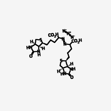 O=C1N[C@H]2[C@H](CS[C@H]2CCCC(N=NC(CCC[C@@H]2SC[C@@H]3NC(=O)N[C@@H]32)C(=O)O)C(=O)O)N1.[N-]=[N+]=[N-]